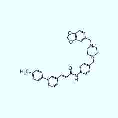 Cc1ccc(-c2cccc(C=CC(=O)Nc3ccc(CN4CCN(Cc5ccc6c(c5)OCO6)CC4)cc3)c2)cc1